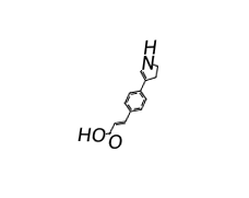 O=C(O)C=Cc1ccc(C2=CNCC2)cc1